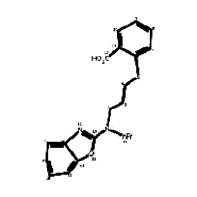 CCCN(CCCSc1ccccc1C(=O)O)c1nc2ccccc2o1